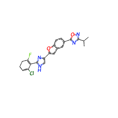 CC(C)c1noc(-c2ccc3oc(-c4c[nH]c(C5=C(F)CCC=C5Cl)n4)cc3c2)n1